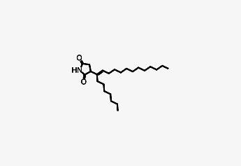 CCCCCCCCCCCC=C(CCCCCCC)C1CC(=O)NC1=O